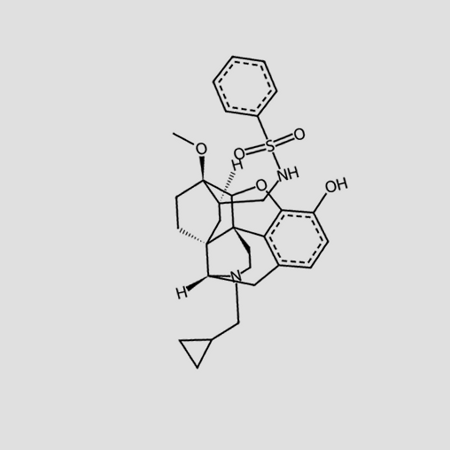 CO[C@]12CC[C@@]3(C[C@@H]1CNS(=O)(=O)c1ccccc1)[C@H]1Cc4ccc(O)c5c4[C@@]3(CCN1CC1CC1)C2O5